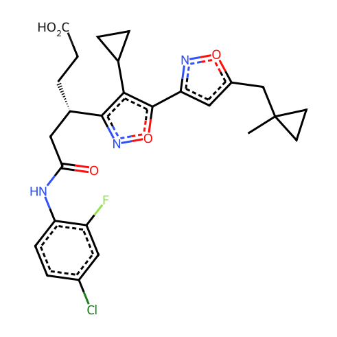 CC1(Cc2cc(-c3onc([C@@H](CCC(=O)O)CC(=O)Nc4ccc(Cl)cc4F)c3C3CC3)no2)CC1